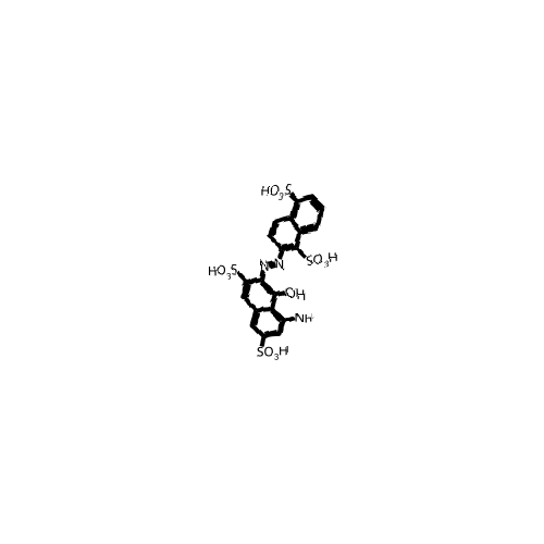 [NH]c1cc(S(=O)(=O)O)cc2cc(S(=O)(=O)O)c(N=Nc3ccc4c(S(=O)(=O)O)cccc4c3S(=O)(=O)O)c(O)c12